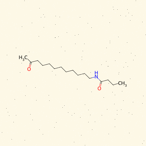 CCCC(=O)NCCCCCCCCCCC(C)=O